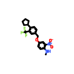 CNc1ccc(OCc2ccc(C3CCCC3)c(C(F)(F)F)c2)cc1[N+](=O)[O-]